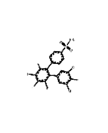 NS(=O)(=O)c1ccc(-c2c(F)c(F)c(F)c(F)c2-c2cc(Cl)c(F)c(Cl)c2)cc1